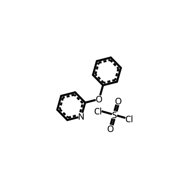 O=S(=O)(Cl)Cl.c1ccc(Oc2ccccn2)cc1